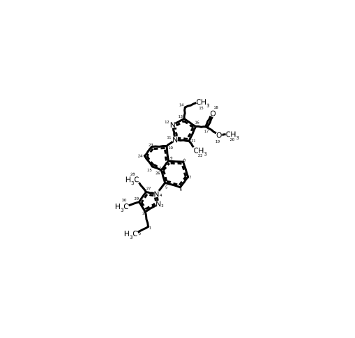 CCc1nn(-c2cccc3c(-n4nc(CC)c(C(=O)OC)c4C)cccc23)c(C)c1C